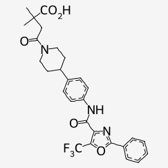 CC(C)(CC(=O)N1CCC(c2ccc(NC(=O)c3nc(-c4ccccc4)oc3C(F)(F)F)cc2)CC1)C(=O)O